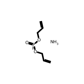 C=CCO[PH](=O)OCC=C.N